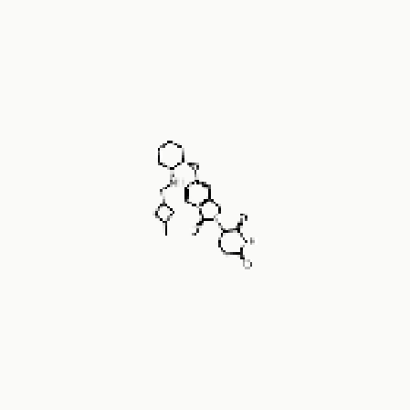 CC1CC(CN[C@@H]2CCCC[C@H]2Oc2ccc3c(c2)CN(C2CCC(=O)NC2=O)C3=O)C1